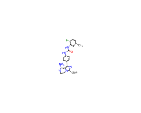 CSc1nc(-c2ccc(NC(=O)Nc3cc(C(F)(F)F)ccc3F)cc2)c2c(N)nccn12